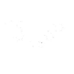 Cc1oc(-c2ccc(-c3ccc(F)cc3)cc2)nc1CCOc1ccc(OC(C)(C)C(=O)O)cc1